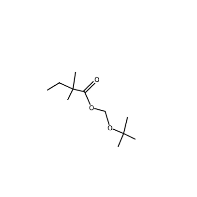 CCC(C)(C)C(=O)OCOC(C)(C)C